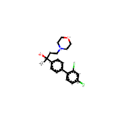 CC(O)(CCN1CCOCC1)c1ccc(-c2ccc(Cl)cc2Cl)cc1